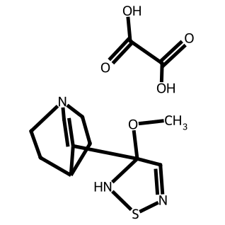 COC1(C2=CN3CCC2CC3)C=NSN1.O=C(O)C(=O)O